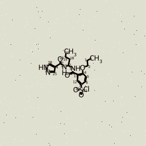 CCCOc1ccc(S(=O)(=O)Cl)cc1C(=O)NC(CCC)NC(=O)c1cn[nH]c1